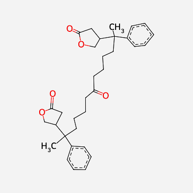 CC(CCCCC(=O)CCCCC(C)(c1ccccc1)C1COC(=O)C1)(c1ccccc1)C1COC(=O)C1